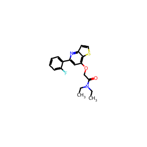 CCN(CC)C(=O)COc1cc(-c2ccccc2F)nc2ccsc12